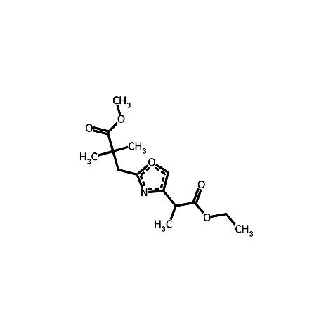 CCOC(=O)C(C)c1coc(CC(C)(C)C(=O)OC)n1